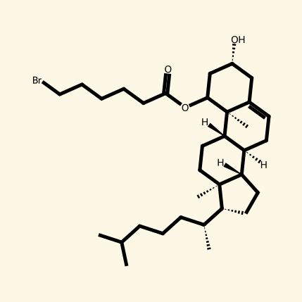 CC(C)CCC[C@@H](C)[C@H]1CC[C@H]2[C@@H]3CC=C4C[C@@H](O)CC(OC(=O)CCCCCBr)[C@]4(C)[C@H]3CC[C@]12C